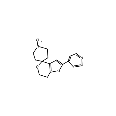 CN1CCC2(CC1)OCCc1sc(-c3ccncc3)cc12